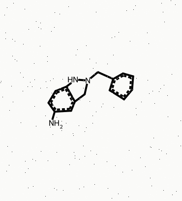 Nc1ccc2c(c1)CN(Cc1ccccc1)N2